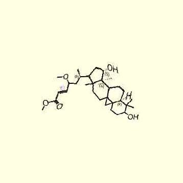 COC(=O)/C=C/C(C[C@@H](C)C1C[C@H](O)[C@@]2(C)C3CC[C@H]4C(C)(C)C(O)CCC45CC35CCC12C)OC